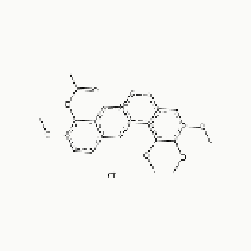 COc1cc2cc[n+]3cc4c(OC(C)=O)c(OC)ccc4cc3c2c(OC)c1OC.[Cl-]